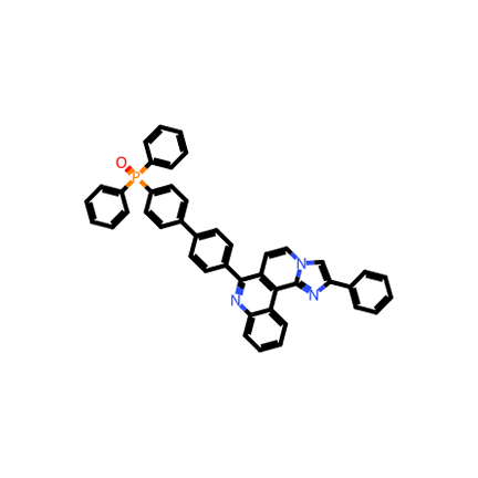 O=P(c1ccccc1)(c1ccccc1)c1ccc(-c2ccc(-c3nc4ccccc4c4c3ccn3cc(-c5ccccc5)nc43)cc2)cc1